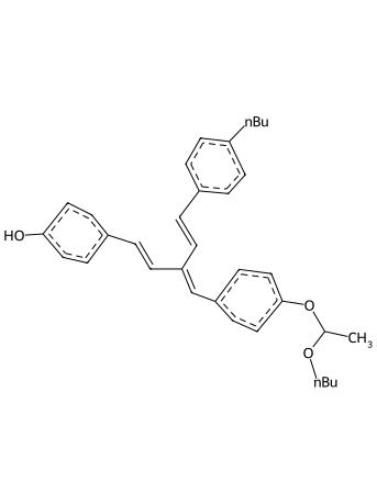 CCCCOC(C)Oc1ccc(C=C(C=Cc2ccc(O)cc2)C=Cc2ccc(CCCC)cc2)cc1